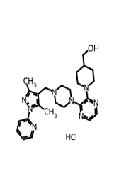 Cc1nn(-c2ccccn2)c(C)c1CN1CCN(c2nccnc2N2CCC(CO)CC2)CC1.Cl